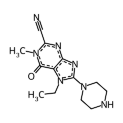 CCn1c(N2CCNCC2)nc2nc(C#N)n(C)c(=O)c21